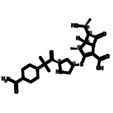 C=C([C@@H]1C[C@H](SC2=C(C(=O)O)N3C(=O)[C@H]([C@@H](C)O)[C@H]3[C@H]2C)CN1)C(C)(C)N1CCN(C(N)=O)CC1